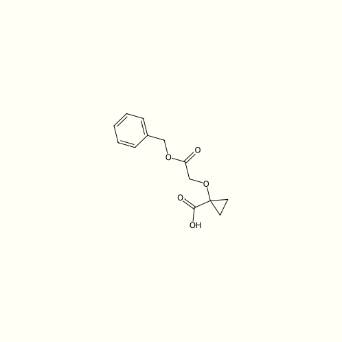 O=C(COC1(C(=O)O)CC1)OCc1ccccc1